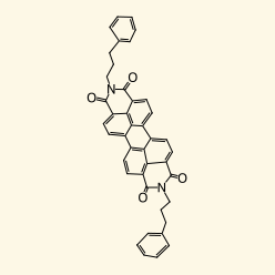 O=C1c2ccc3c4ccc5c6c(ccc(c7ccc(c2c37)C(=O)N1CCCc1ccccc1)c64)C(=O)N(CCCc1ccccc1)C5=O